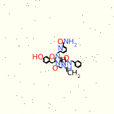 C=CCN1CC(=O)N2C(Cc3ccc(O)cc3)C(=O)N(Cc3cccc(C(N)=O)n3)C[C@@H]2N1C(=O)NCc1ccccc1